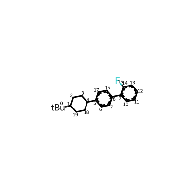 CC(C)(C)C1CCC(c2ccc(-c3ccccc3F)cc2)CC1